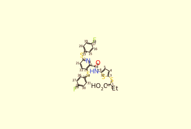 CCC(Sc1ccc(NC(=O)c2nc(Sc3ccc(F)cc3)ccc2Sc2ccc(F)cc2)s1)C(=O)O